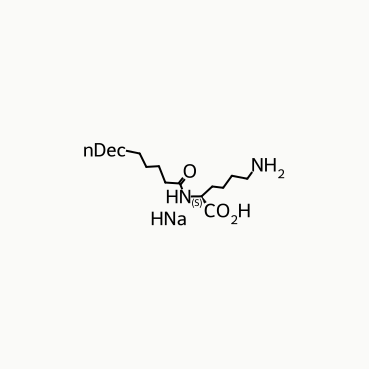 CCCCCCCCCCCCCCC(=O)N[C@@H](CCCCN)C(=O)O.[NaH]